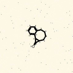 O=C1C2CCCCc3ccccc3C12